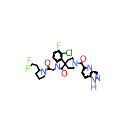 O=C(c1ccc2[nH]ncc2n1)N1CCC2(CC1)C(=O)N(CC(=O)N1CCCC1CC(F)F)c1ccc(F)c(Cl)c12